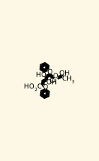 CC(O)COC(=O)C(Oc1ccccc1)C(O)C(O)CC(Oc1ccccc1)C(=O)O